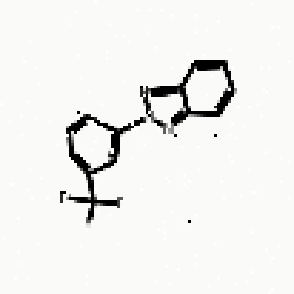 FC(F)(F)c1cccc(-n2nc3ccccc3n2)c1